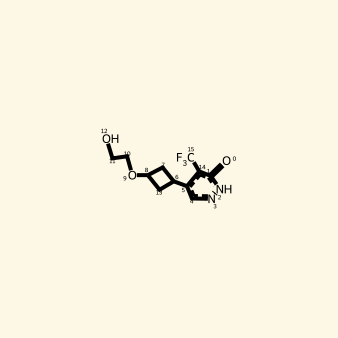 O=c1[nH]ncc(C2CC(OCCO)C2)c1C(F)(F)F